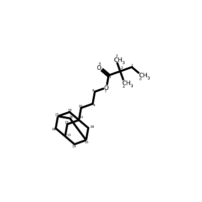 CCC(C)(C)C(=O)OCCCC12CC3CC(CC(C3)C1)C2